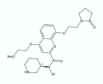 COCCOc1cc(C(=O)N(C(C)C)[C@@H]2CCCNC2)nc2c(OCCN3CCCC3=O)cccc12